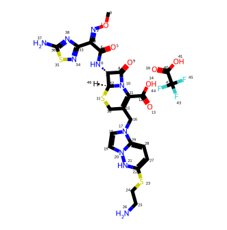 CO/N=C(\C(=O)N[C@@H]1C(=O)N2C(C(=O)O)=C(CN3C=CN4NC(SCCN)=CC=C34)CS[C@@H]12)c1nsc(N)n1.O=C(O)C(F)(F)F